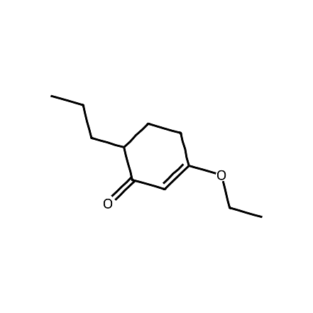 CCCC1CCC(OCC)=CC1=O